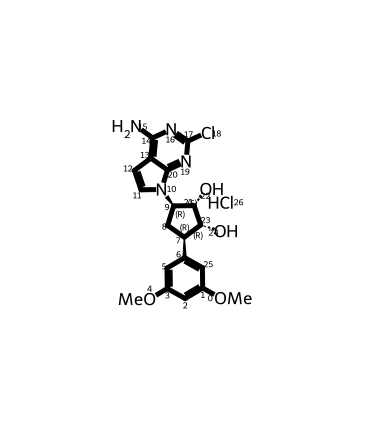 COc1cc(OC)cc([C@H]2C[C@@H](n3ccc4c(N)nc(Cl)nc43)[C@H](O)[C@@H]2O)c1.Cl